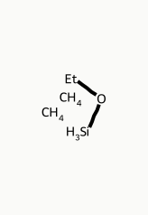 C.C.CCO[SiH3]